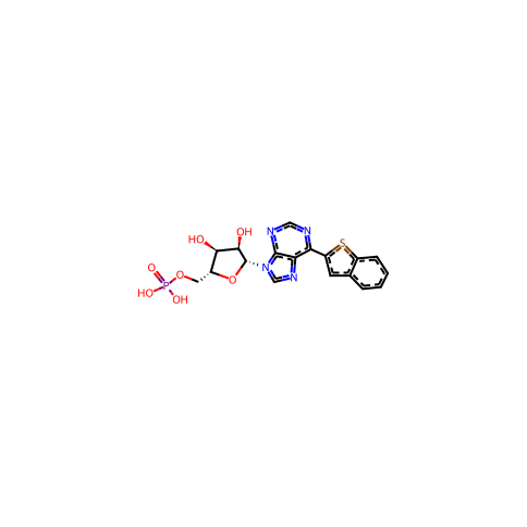 O=P(O)(O)OC[C@H]1O[C@@H](n2cnc3c(-c4cc5ccccc5s4)ncnc32)[C@H](O)[C@@H]1O